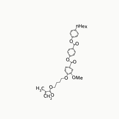 C=C(C)C(=O)OCCCCOc1ccc(C(=O)Oc2ccc(C(=O)Oc3ccc(CCCCCC)cc3)cc2)cc1OC